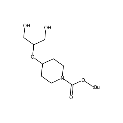 CC(C)(C)OC(=O)N1CCC(OC(CO)CO)CC1